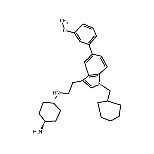 N[C@H]1CC[C@H](NCCc2cn(CC3CCCCC3)c3ccc(-c4cccc(OC(F)(F)F)c4)cc23)CC1